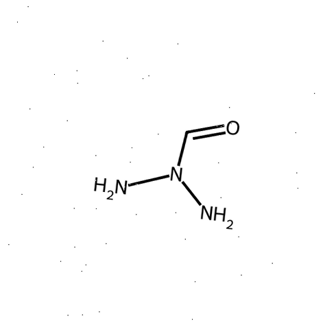 NN(N)C=O